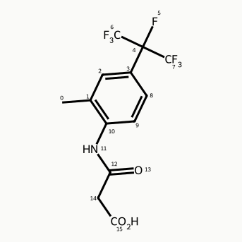 Cc1cc(C(F)(C(F)(F)F)C(F)(F)F)ccc1NC(=O)CC(=O)O